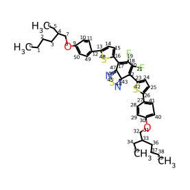 CCCCC(CC)COc1ccc(-c2ccc(-c3c(F)c(F)c(-c4ccc(-c5ccc(OCC(CC)CCCC)cc5)s4)c4nsnc34)s2)cc1